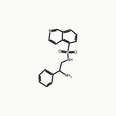 NC(CNS(=O)(=O)c1cccc2cnccc12)c1ccccc1